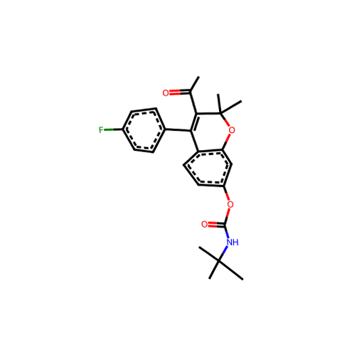 CC(=O)C1=C(c2ccc(F)cc2)c2ccc(OC(=O)NC(C)(C)C)cc2OC1(C)C